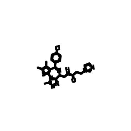 Cc1sc2c(c1C)C(c1ccc(Cl)cc1)=NC(CNC(=O)CCn1ccnc1)c1nnc(C)n1-2